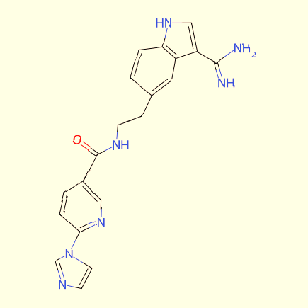 N=C(N)c1c[nH]c2ccc(CCNC(=O)c3ccc(-n4ccnc4)nc3)cc12